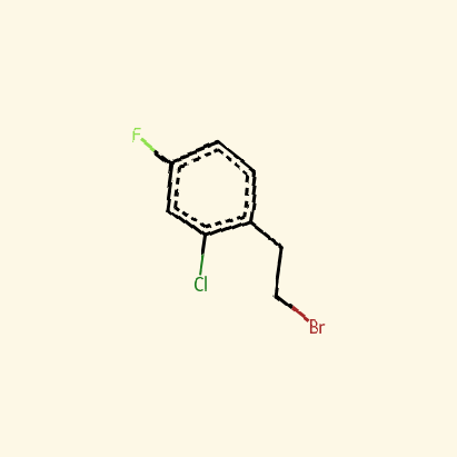 Fc1ccc(CCBr)c(Cl)c1